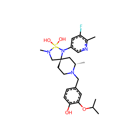 Cc1ncc(N2[C@@]3(CCN(Cc4ccc(O)c(OC(C)C)c4)[C@@H](C)C3)CN(C)S2(O)O)cc1F